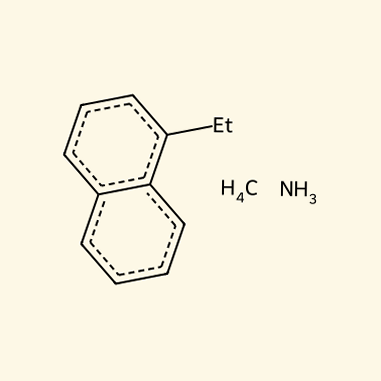 C.CCc1cccc2ccccc12.N